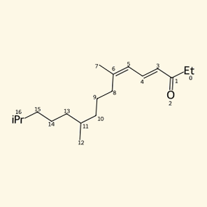 CCC(=O)C=CC=C(C)CCCC(C)CCCC(C)C